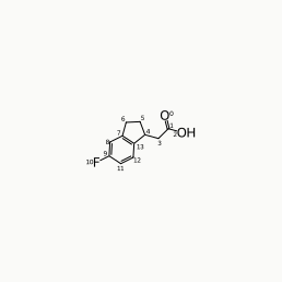 O=C(O)CC1CCc2cc(F)ccc21